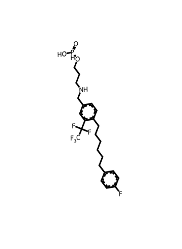 O=[PH](O)OCCCNCc1ccc(CCCCCCc2ccc(F)cc2)c(C(F)(F)C(F)(F)F)c1